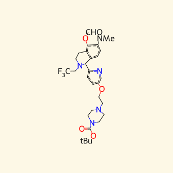 CNc1ccc2c(c1OC=O)CCN(CC(F)(F)F)C2c1ccc(OCCN2CCN(C(=O)OC(C)(C)C)CC2)cn1